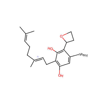 CCCCCc1cc(O)c(C/C=C(\C)CCC=C(C)C)c(O)c1C1CCO1